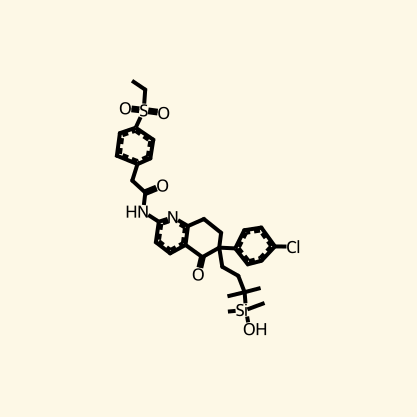 CCS(=O)(=O)c1ccc(CC(=O)Nc2ccc3c(n2)CCC(CCC(C)(C)[Si](C)(C)O)(c2ccc(Cl)cc2)C3=O)cc1